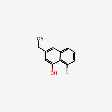 CC(=O)OCc1cc(O)c2c(F)cccc2c1